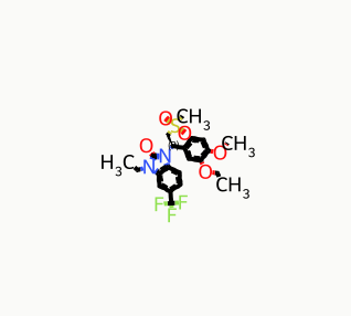 CCOc1cc([C@H](CS(C)(=O)=O)n2c(=O)n(CC)c3cc(C(F)(F)F)ccc32)ccc1OC